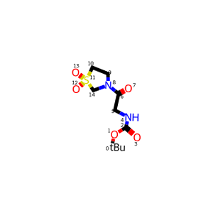 CC(C)(C)OC(=O)NCC(=O)N1CCS(=O)(=O)C1